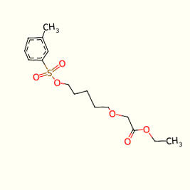 CCOC(=O)COCCCCCOS(=O)(=O)c1cccc(C)c1